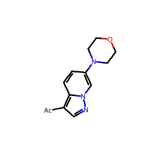 CC(=O)c1cnn2cc(N3CCOCC3)ccc12